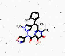 C[C@H](c1nc(C(=O)Nc2cnoc2)c(O)c(=O)n1C)[C@@H](c1cnn(C(F)(F)F)c1)c1ccccc1C#N